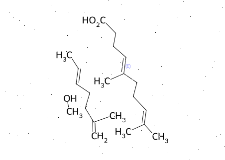 C=C(C)CCC=CC.CC(C)=CCC/C(C)=C/CCC(=O)O.CO